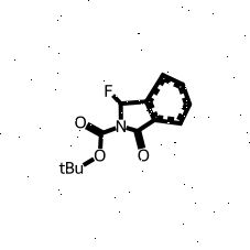 CC(C)(C)OC(=O)N1C(=O)c2ccccc2C1F